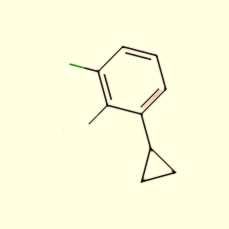 O=C(O)c1c(F)cccc1C1CC1